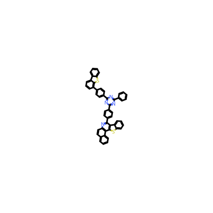 c1ccc(-c2nc(-c3ccc(-c4cccc5c4sc4ccccc45)cc3)nc(-c3ccc(-c4nc5ccc6ccccc6c5c5sc6ccccc6c45)cc3)n2)cc1